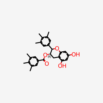 Cc1cc(C(=O)O[C@@H]2Cc3c(O)cc(O)cc3OC2c2cc(C)c(C)c(C)c2)cc(C)c1C